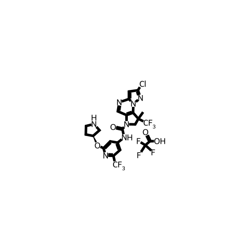 CC1(C(F)(F)F)CN(C(=O)Nc2cc(O[C@H]3CCNC3)nc(C(F)(F)F)c2)c2cnc3cc(Cl)nn3c21.O=C(O)C(F)(F)F